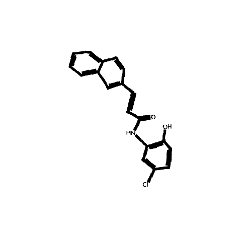 O=C(C=Cc1ccc2ccccc2c1)Nc1cc(Cl)ccc1O